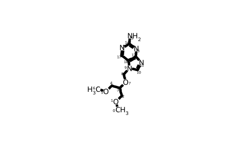 COCC(COC)OCn1cnc2nc(N)ncc21